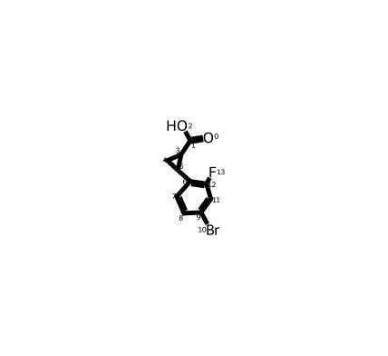 O=C(O)C1CC1c1ccc(Br)cc1F